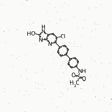 CS(=O)(=O)Nc1ccc(-c2ccc(-c3nc4nc(O)[nH]c4cc3Cl)cc2)cc1